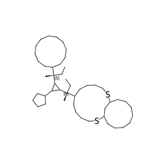 CC[C@@](C)(C1CCCCCCCCCCC1)C1C(C2CCCC2)C1[C@](C)(CC)C1CCCCSC2CCCCCCCCC(C2)SCCCC1